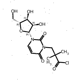 CC(C)(Cn1c(=O)ccn([C@@H]2O[C@H](CO)[C@@H](O)[C@H]2O)c1=O)C(=O)Cl